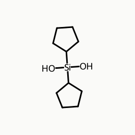 O[Si](O)(C1CCCC1)C1CCCC1